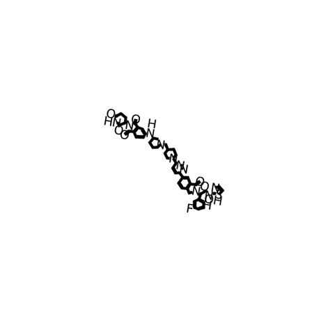 O=C1CCC(N2C(=O)c3ccc(N[C@H]4CCCN(CC5CCN(c6ccc(-c7ccc8c(c7)C(=O)N(C(C(=O)Nc7nccs7)c7cc(F)ccc7O)C8)nn6)CC5)C4)cc3C2=O)C(=O)N1